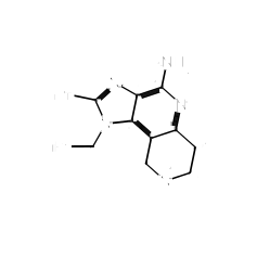 CCCc1nc2c(N)nc3c(c2n1CC(C)C)CNCC3